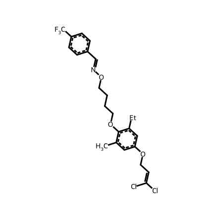 CCc1cc(OCC=C(Cl)Cl)cc(C)c1OCCCCON=Cc1ccc(C(F)(F)F)cc1